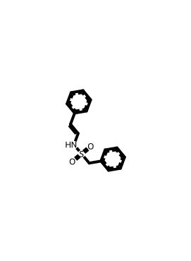 O=S(=O)(Cc1ccccc1)NC=Cc1ccccc1